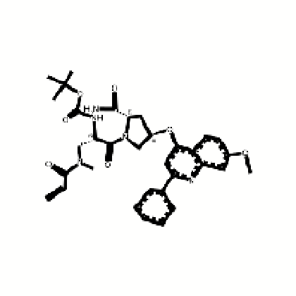 C=CC(=O)N(C)C[C@H](NC(=O)OC(C)(C)C)C(=O)N1C[C@H](Oc2cc(-c3ccccc3)nc3cc(OC)ccc23)C[C@H]1C(N)=O